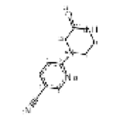 N#Cc1ccc(N2CCNC(=O)C2)nc1